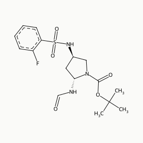 CC(C)(C)OC(=O)N1C[C@H](NS(=O)(=O)c2ccccc2F)C[C@H]1NC=O